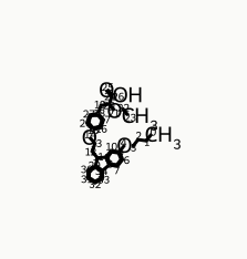 CCCCOc1ccc2c(c1)C(CCOc1ccc(CC(OCC)C(=O)O)cc1)c1ccccc1-2